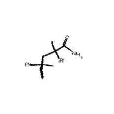 CCC(C)(C)CC(C)(C(N)=O)C(C)C